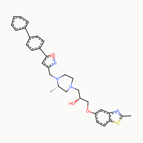 Cc1nc2cc(OC[C@@H](O)CN3CCN(Cc4cc(-c5ccc(-c6ccccc6)cc5)on4)[C@@H](C)C3)ccc2s1